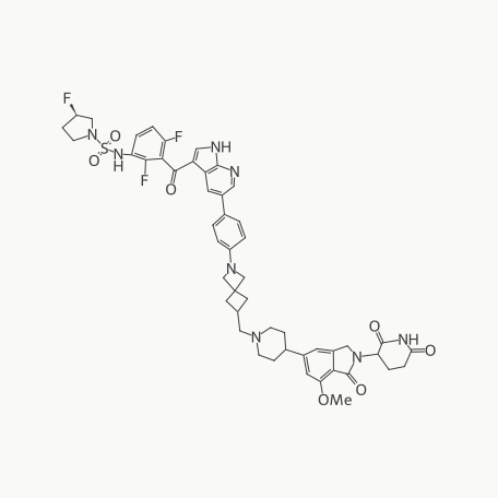 COc1cc(C2CCN(CC3CC4(C3)CN(c3ccc(-c5cnc6[nH]cc(C(=O)c7c(F)ccc(NS(=O)(=O)N8CC[C@@H](F)C8)c7F)c6c5)cc3)C4)CC2)cc2c1C(=O)N(C1CCC(=O)NC1=O)C2